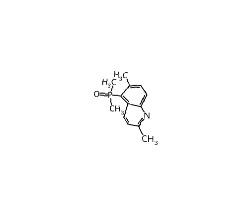 Cc1ccc2c(P(C)(C)=O)c(C)ccc2n1